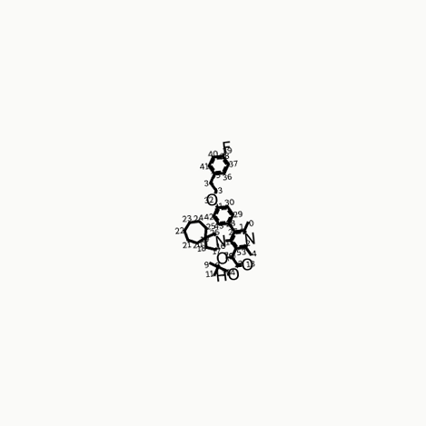 Cc1nc(C)c([C@H](OC(C)(C)C)C(=O)O)c(N2CCC3(CCCCCC3)C2)c1-c1ccc(OCCc2ccc(F)cc2)cc1